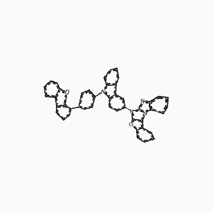 c1ccc2c(c1)nc1n(-c3ccc4c(c3)c3ccccc3n4-c3ccc(-c4cccc5c4oc4ccccc45)cc3)c3oc4ccccc4c3n21